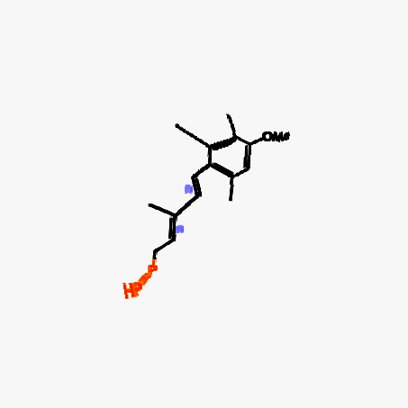 COc1cc(C)c(/C=C/C(C)=C/CP=P)c(C)c1C